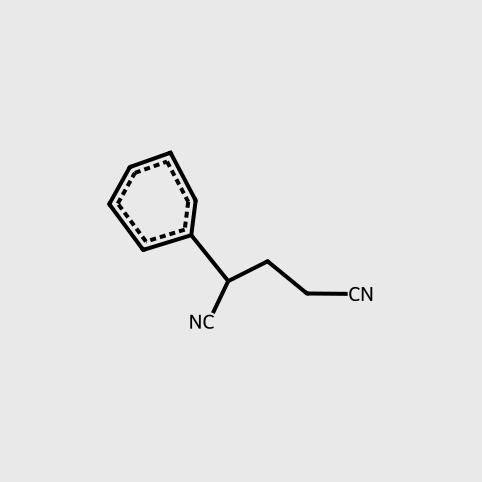 N#CCCC(C#N)c1ccccc1